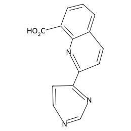 O=C(O)c1cccc2ccc(-c3ccncn3)nc12